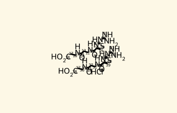 Cl.N=C(N)Nc1nc(C(=O)NCCC(=O)NCCC(=O)O)cs1.N=C(N)Nc1nc(C(=O)NCCC(=O)NCCC(=O)O)cs1